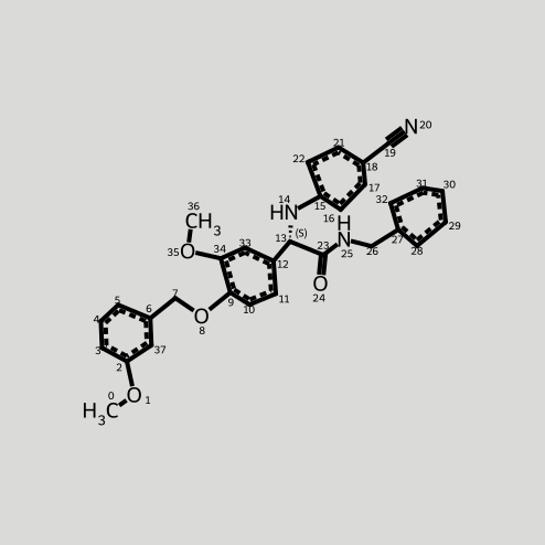 COc1cccc(COc2ccc([C@H](Nc3ccc(C#N)cc3)C(=O)NCc3ccccc3)cc2OC)c1